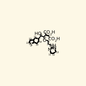 O=C(O)/C=C(/C(=O)O)C(OCCNc1ncccn1)C(O)c1ccc2sccc2c1